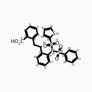 O=C(O)c1ccccc1CCc1ccccc1N(S(=O)(=O)c1ccccc1)S(=O)(=O)c1cccs1